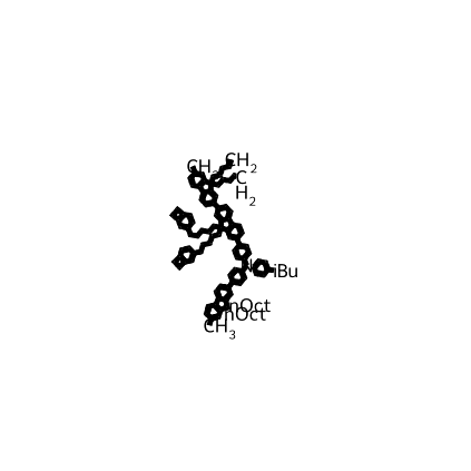 C=CCCCC1(CCCC=C)c2cc(C)ccc2-c2ccc(-c3ccc4c(c3)C(CCCCCc3ccc5c(c3)CC5)(CCCCCc3ccc5c(c3)CC5)c3cc(-c5ccc(N(c6ccc(-c7ccc8c(c7)C(CCCCCCCC)(CCCCCCCC)c7cc(C)ccc7-8)cc6)c6ccc(C(C)CC)cc6)cc5)ccc3-4)cc21